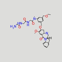 CCOCc1cc(COC2=C(OC)C=C3C(=O)N4c5ccccc5C[C@H]4C=NC3C2)cc(N(C)C(=O)CNC(=O)CNC(=O)CN)c1